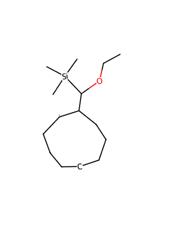 CCOC(C1[CH]CCCCCCC1)[Si](C)(C)C